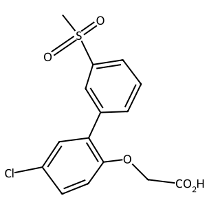 CS(=O)(=O)c1cccc(-c2cc(Cl)ccc2OCC(=O)O)c1